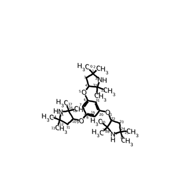 CC1(C)CC(Oc2cc(OC3CC(C)(C)NC3(C)C)cc(OC3CC(C)(C)NC3(C)C)c2)C(C)(C)N1